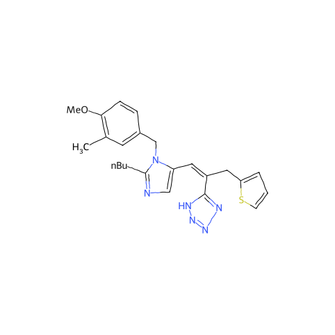 CCCCc1ncc(C=C(Cc2cccs2)c2nnn[nH]2)n1Cc1ccc(OC)c(C)c1